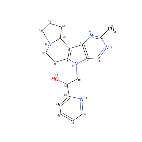 Cc1ncc2c(n1)c1c(n2CC(O)c2ccccn2)CCN2CCCC12